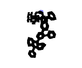 C/C=C\c1c(N)c2cc(-c3ccc(-c4c5ccccc5c(-c5ccccc5)c5ccccc45)cc3-c3ccccc3)ccc2n1-c1ccccc1